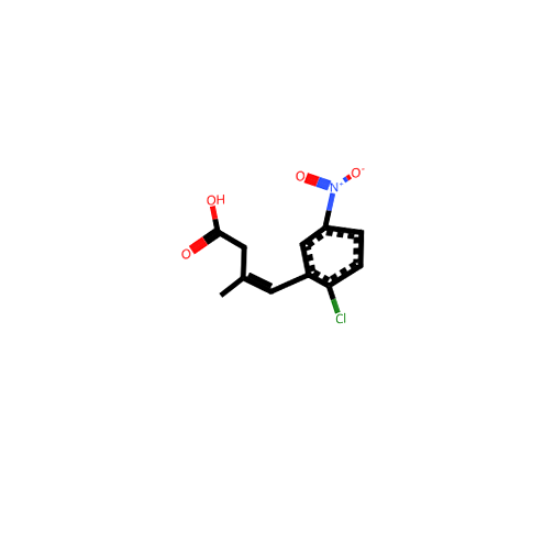 CC(=Cc1cc([N+](=O)[O-])ccc1Cl)CC(=O)O